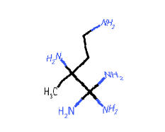 CC(N)(CCN)C(N)(N)N